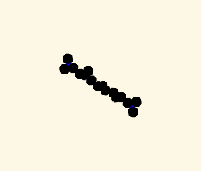 CC1(C)c2cc(-c3ccc(/C(=C/c4ccc(-c5ccc6c(c5)c5ccccc5n6-c5ccccc5)cc4)c4ccccc4)cc3)ccc2-c2ccc(-c3ccc4c(c3)C(C)(C)c3cc(-c5ccc6c(c5)c5ccccc5n6-c5ccccc5)ccc3-4)cc21